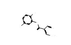 CN/C=C(\C=N)C(=O)Nc1cc(Br)ccc1O